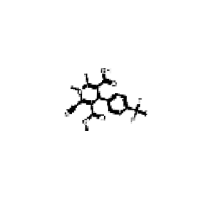 COC(=O)C1=C(C#N)N(C)C(C)=C(C(=O)O)C1c1ccc(C(F)(F)F)cc1